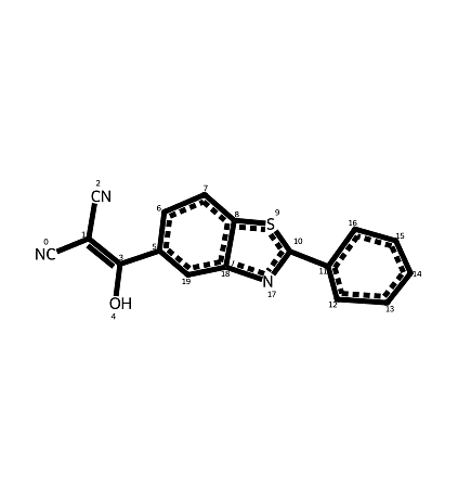 N#CC(C#N)=C(O)c1ccc2sc(-c3ccccc3)nc2c1